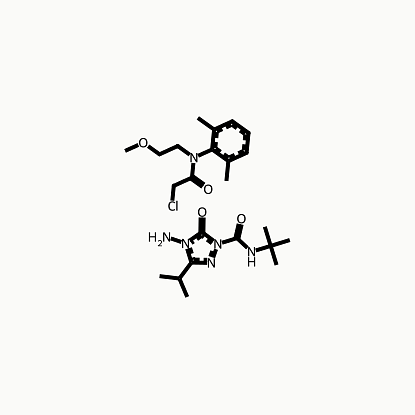 CC(C)c1nn(C(=O)NC(C)(C)C)c(=O)n1N.COCCN(C(=O)CCl)c1c(C)cccc1C